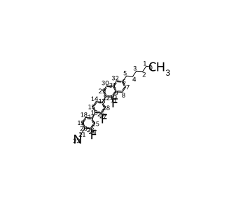 CCCCCCc1ccc2c(F)c(-c3ccc(-c4ccc(C#N)c(F)c4)c(F)c3)ccc2c1